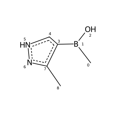 CB(O)c1c[nH]nc1C